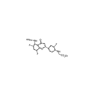 CCCCCCNc1c(F)cc(F)c2oc(-c3ccc(NCC(=O)OCC)c(F)c3)cc(=O)c12